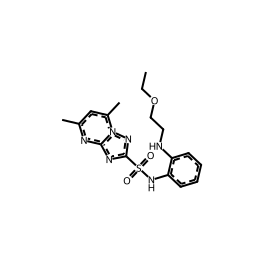 CCOCCNc1ccccc1NS(=O)(=O)c1nc2nc(C)cc(C)n2n1